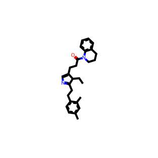 CCC1C(CCC(=O)N2CCCc3ccccc32)=CN=C1CCc1ccc(C)cc1C